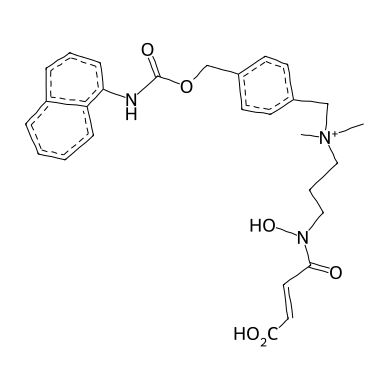 C[N+](C)(CCCN(O)C(=O)/C=C/C(=O)O)Cc1ccc(COC(=O)Nc2cccc3ccccc23)cc1